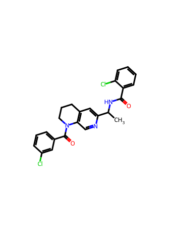 CC(NC(=O)c1ccccc1Cl)c1cc2c(cn1)N(C(=O)c1cccc(Cl)c1)CCC2